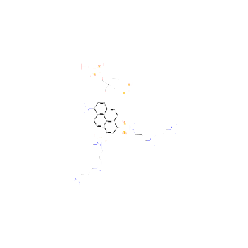 CCC(COc1cc(N(C)C)c2ccc3c(S(=O)(=O)N(C)CCCN(C)CCCN(C)C)cc(S(=O)(=O)N(C)CCCN(C)CCCN(C)C)c4ccc1c2c43)(COS(=O)(=O)O)COS(=O)(=O)O